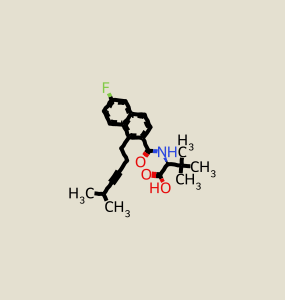 CC(C)C#CCCc1c(C(=O)N[C@H](C(=O)O)C(C)(C)C)ccc2cc(F)ccc12